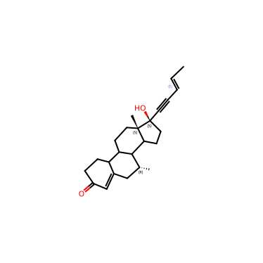 C/C=C/C#C[C@]1(O)CCC2C3C(CC[C@@]21C)C1CCC(=O)C=C1C[C@H]3C